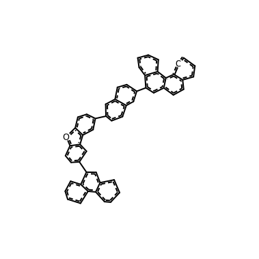 c1ccc2c(c1)cc(-c1ccc3oc4ccc(-c5ccc6cc(-c7cc8ccc9ccccc9c8c8ccccc78)ccc6c5)cc4c3c1)c1ccccc12